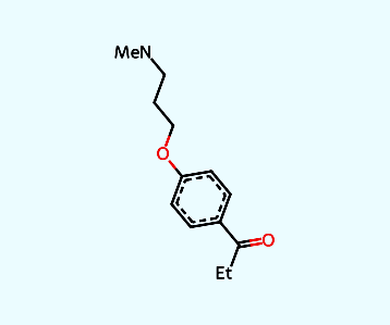 CCC(=O)c1ccc(OCCCNC)cc1